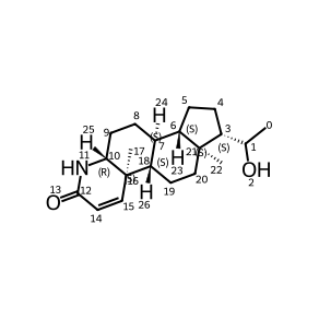 CC(O)[C@H]1CC[C@H]2[C@@H]3CC[C@H]4NC(=O)C=C[C@]4(C)[C@H]3CC[C@]12C